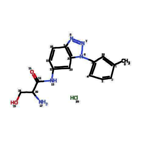 Cc1cccc(-n2nnc3ccc(NC(=O)C(N)CO)cc32)c1.Cl